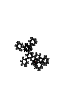 c1ccc(-c2cc(-c3ccc4c(c3)C3(CCC5CC6CC(C5)C3C6)c3ccccc3-4)cc(-c3nc(-c4ccccc4)nc(-c4ccccc4)n3)c2)cc1